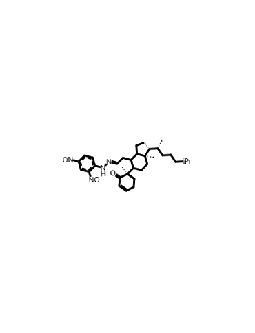 CC(C)CCC[C@@H](C)[C@H]1CCC2C(C/C=N/Nc3ccc(N=O)cc3N=O)C([C@@]3(C)CCC=CC3=O)CC[C@@]21C